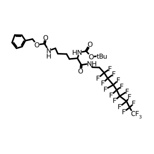 CC(C)(C)OC(=O)NC(CCCCNC(=O)OCc1ccccc1)C(=O)NCCC(F)(F)C(F)(F)C(F)(F)C(F)(F)C(F)(F)C(F)(F)C(F)(F)C(F)(F)F